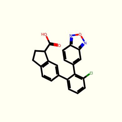 O=C(O)C1CCc2ccc(-c3cccc(Cl)c3-c3ccc4nonc4c3)cc21